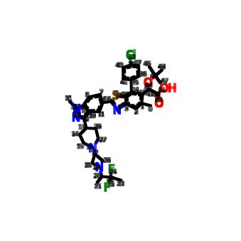 Cc1cc2nc(-c3ccc4c(c3)c(C3CCN(C5CN(C(C)C(C)(F)F)C5)CC3)nn4C)sc2c(-c2ccc(Cl)cc2)c1[C@H](OC(C)(C)C)C(=O)O